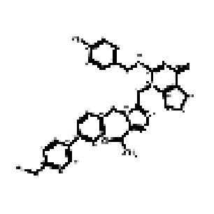 CC(Cl)c1nnc(Cn2c(SCc3ccc(F)cc3)nc(=O)c3c2CCC3)n1Cc1ccc(-c2ccc(CF)cc2)cc1